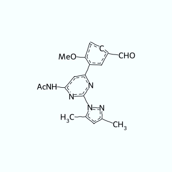 COc1ccc(C=O)cc1-c1cc(NC(C)=O)nc(-n2nc(C)cc2C)n1